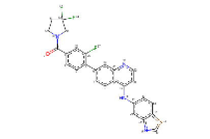 O=C(c1ccc(-c2ccc3c(Nc4ccc5scnc5c4)ccnc3c2)c(F)c1)N1CCC(F)(F)C1